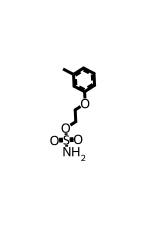 Cc1cccc(OCCOS(N)(=O)=O)c1